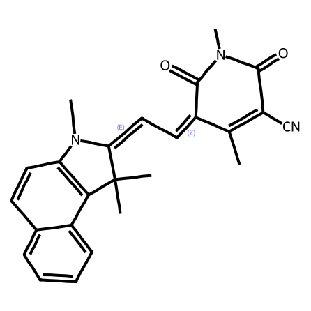 CC1=C(C#N)C(=O)N(C)C(=O)/C1=C\C=C1\N(C)c2ccc3ccccc3c2C1(C)C